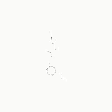 O=C(NCc1cccc(OC(F)(F)F)c1)NC12CC(F)(C1)C2